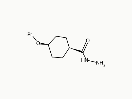 CC(C)O[C@H]1CC[C@@H](C(=O)NN)CC1